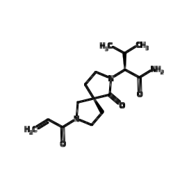 C=CC(=O)N1CC[C@]2(CCN([C@H](C(N)=O)C(C)C)C2=O)C1